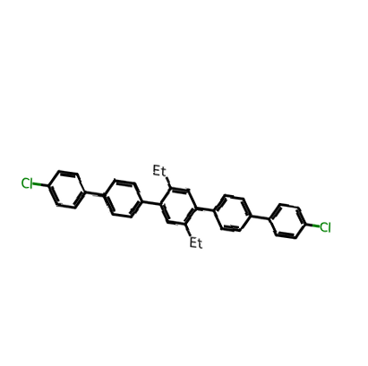 CCc1cc(-c2ccc(-c3ccc(Cl)cc3)cc2)c(CC)cc1-c1ccc(-c2ccc(Cl)cc2)cc1